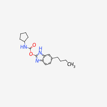 CCCCc1ccc2nc(OC(=O)NC3CCCC3)[nH]c2c1